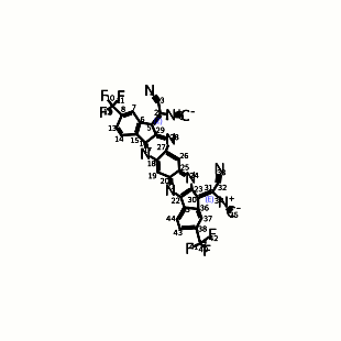 [C-]#[N+]/C(C#N)=C1/c2cc(C(F)(F)F)ccc2-c2nc3cc4nc5c(nc4cc3nc21)/C(=C(\C#N)[N+]#[C-])c1cc(C(F)(F)F)ccc1-5